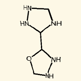 C1NNC(C2NNCO2)N1